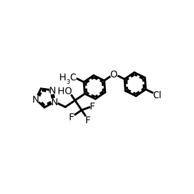 Cc1cc(Oc2ccc(Cl)cc2)ccc1C(O)(Cn1cncn1)C(F)(F)F